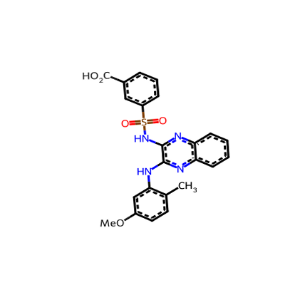 COc1ccc(C)c(Nc2nc3ccccc3nc2NS(=O)(=O)c2cccc(C(=O)O)c2)c1